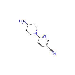 N#Cc1ccc(N2CCC(N)CC2)nc1